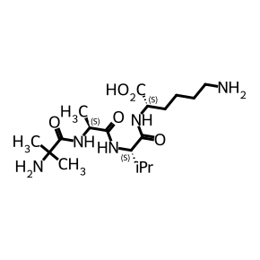 CC(C)[C@H](NC(=O)[C@H](C)NC(=O)C(C)(C)N)C(=O)N[C@@H](CCCCN)C(=O)O